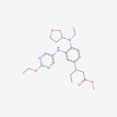 CCOc1ncc(Nc2cc(C(CC)CC(=O)OC)ccc2N(CC)C2CCOC2)cn1